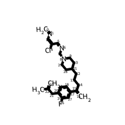 C=N/C=C(Cl)\C=N/CN1CCC(CCCC(=C)c2ccc(CC(=C)C)c(F)c2)CC1